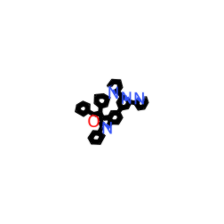 c1ccc(-c2oc3c(-c4ccccc4)nc4ccc(-c5cc(-c6ccccn6)nc(-c6ccccn6)c5)cc4c3c2-c2ccccc2)cc1